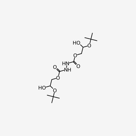 CC(C)(C)OC(O)COC(=O)NNC(=O)OCC(O)OC(C)(C)C